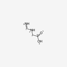 N=CNCC(=O)O